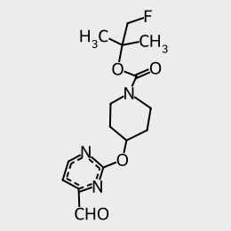 CC(C)(CF)OC(=O)N1CCC(Oc2nccc(C=O)n2)CC1